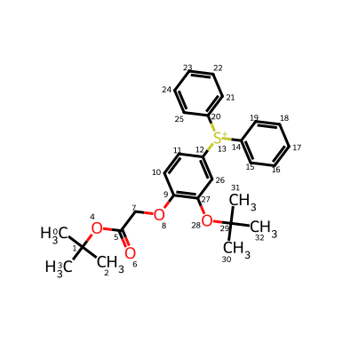 CC(C)(C)OC(=O)COc1ccc([S+](c2ccccc2)c2ccccc2)cc1OC(C)(C)C